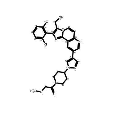 COCC(=O)N1CCC(n2cc(-c3cnc4ccn5c(CO)c(-c6c(Cl)cccc6Cl)nc5c4c3)cn2)CC1